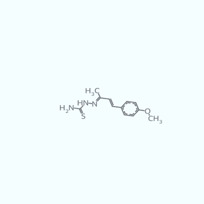 COc1ccc(C=CC(C)=NNC(N)=S)cc1